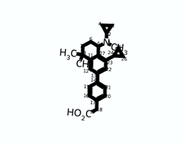 CN(C1CC1)C1CCC(C)(C)c2cc(-c3ccc(CC(=O)O)cc3)cc(C3CC3)c21